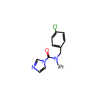 CC(C)N(Cc1ccc(Cl)cc1)C(=O)n1ccnc1